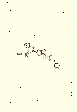 CC(C)(C)OC(=O)Nc1ccccc1NC(=O)c1ccc2c(c1)CCC2NC(=O)NCc1ccncc1